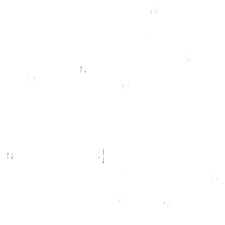 O=C(NCc1cccnc1)c1cc(-c2csc3c(=O)cc(N4CCOCC4)oc23)cc2c1OCCO2